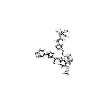 CN(CCN1CC[C@@H](NC(=O)OC(C)(C)C)C1)c1c(NC(=O)c2csc(C3=CNNC=C3)n2)ccc(OC2CC2)c1C(F)(F)F